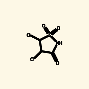 O=C1NS(=O)(=O)C(Cl)C1Cl